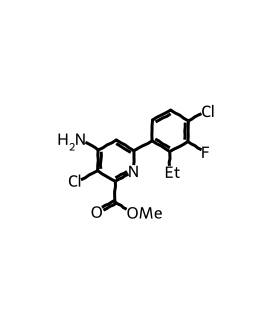 CCc1c(-c2cc(N)c(Cl)c(C(=O)OC)n2)ccc(Cl)c1F